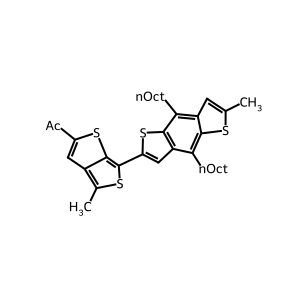 CCCCCCCCc1c2cc(-c3sc(C)c4cc(C(C)=O)sc34)sc2c(CCCCCCCC)c2cc(C)sc12